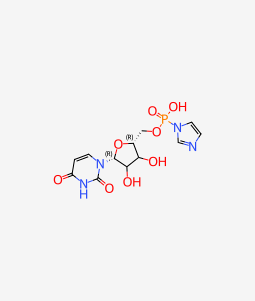 O=c1ccn([C@@H]2O[C@H](COP(=O)(O)n3ccnc3)C(O)C2O)c(=O)[nH]1